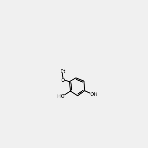 CCOc1ccc(O)cc1O